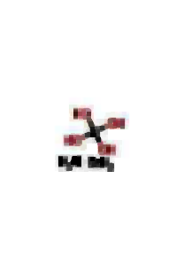 O[Si](O)(O)O.[AlH3].[BeH2]